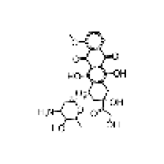 COc1cccc2c1C(=O)c1c(O)c3c(c(O)c1C2=O)C[C@@](O)(C(=O)CO)C[C@@H]3O[C@H]1CC(N)C(O)C(C)O1